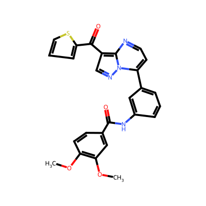 COc1ccc(C(=O)Nc2cccc(-c3ccnc4c(C(=O)c5cccs5)cnn34)c2)cc1OC